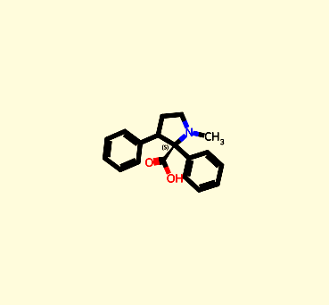 CN1CCC(c2ccccc2)[C@@]1(C(=O)O)c1ccccc1